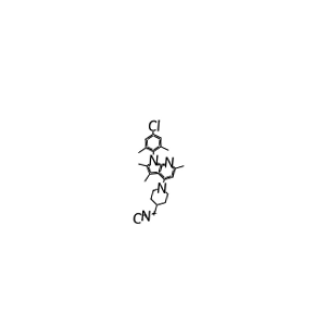 [C-]#[N+]CC1CCN(c2cc(C)nc3c2c(C)c(C)n3-c2c(C)cc(Cl)cc2C)CC1